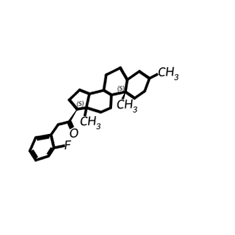 CC1CC[C@@]2(C)C(CCC3C4CC[C@H](C(=O)Cc5ccccc5F)C4(C)CCC32)C1